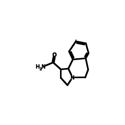 NC(=O)C1CCN2CCc3cc[c]cc3C12